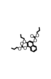 CCCOC(=O)Oc1cc(OCCC)c(OC(=O)OCCC)c2ccccc12